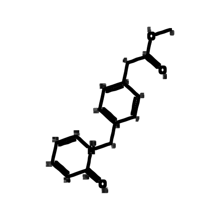 COC(=O)Cc1ccc(Cn2ccccc2=O)cc1